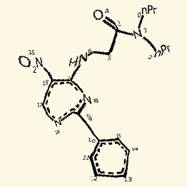 CCCN(CCC)C(=O)CNc1nc(-c2ccccc2)ncc1[N+](=O)[O-]